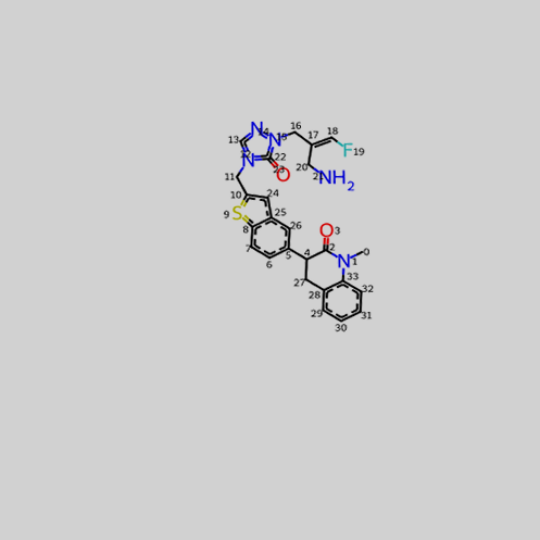 CN1C(=O)C(c2ccc3sc(Cn4cnn(C/C(=C/F)CN)c4=O)cc3c2)Cc2ccccc21